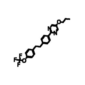 CCCOc1cnc(-c2ccc(CCc3ccc(OC(F)(F)F)cc3)cc2)nc1